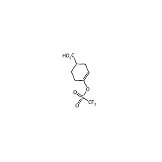 O=C(O)C1CC=C(OS(=O)(=O)C(F)(F)F)CC1